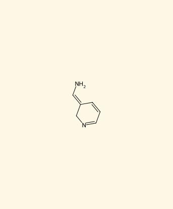 N/C=C1\C=CC=NC1